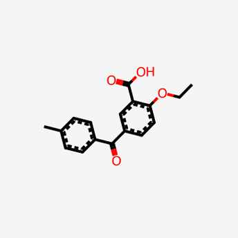 CCOc1ccc(C(=O)c2ccc(C)cc2)cc1C(=O)O